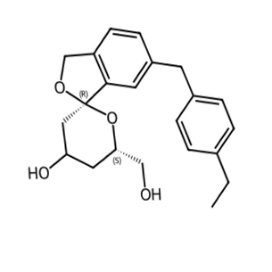 CCc1ccc(Cc2ccc3c(c2)[C@]2(CC(O)C[C@@H](CO)O2)OC3)cc1